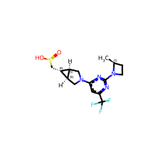 C[C@H]1CCN1c1nc(N2C[C@@H]3[C@H](C2)[C@H]3CS(=O)O)cc(C(F)(F)F)n1